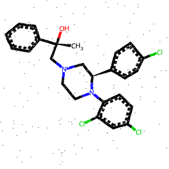 C[C@@](O)(CN1CCN(c2ccc(Cl)cc2Cl)[C@H](c2ccc(Cl)cc2)C1)c1ccccc1